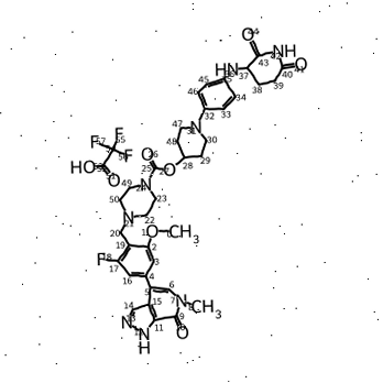 COc1cc(-c2cn(C)c(=O)c3[nH]ncc23)cc(F)c1CN1CCN(C(=O)OC2CCN(c3ccc(NC4CCC(=O)NC4=O)cc3)CC2)CC1.O=C(O)C(F)(F)F